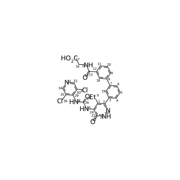 CCc1c(-c2cccc(-c3cccc(C(=O)NCC(=O)O)c3)c2)n[nH]c(=O)c1NC(=O)Nc1c(Cl)cncc1Cl